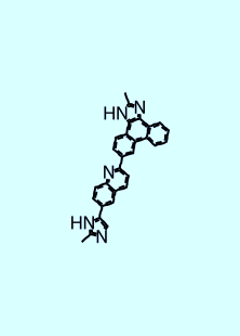 Cc1ncc(-c2ccc3nc(-c4ccc5c(c4)c4ccccc4c4nc(C)[nH]c54)ccc3c2)[nH]1